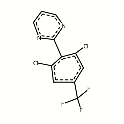 FC(F)(F)c1cc(Cl)c(-c2ncccn2)c(Cl)c1